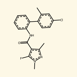 Cc1cc(Cl)ccc1-c1ccccc1NC(=O)c1c(C)nn(C)c1F